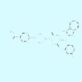 O=C(NO)c1cnc(N2CCC(N3CC(=O)N4C(Cc5c([nH]c6ccccc56)C4c4ccc5c(c4)OCO5)C3=O)CC2)nc1